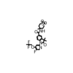 CC(F)(F)COc1cc(N2C(=O)C(C)(C)c3cc(C(=O)NC4(C)CCS(=O)(=O)CC4)ccc32)ncc1F